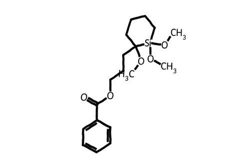 COC1(CCCOC(=O)c2ccccc2)CCCC[Si]1(OC)OC